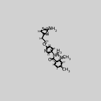 Cc1ccc(C(=O)Nc2ccc(OCCc3csc(N)n3)nc2)c(N(C)C)c1